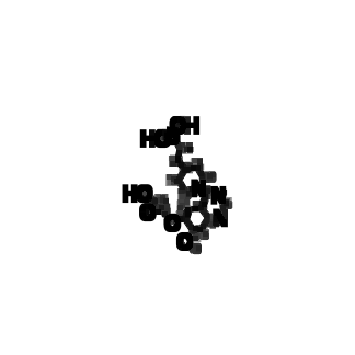 COc1cc2ncnc(N3CCC(CCB(O)O)CC3)c2cc1OC.O=CO